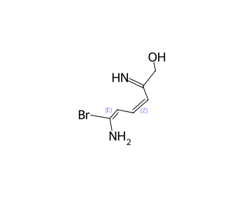 N=C(/C=C\C=C(/N)Br)CO